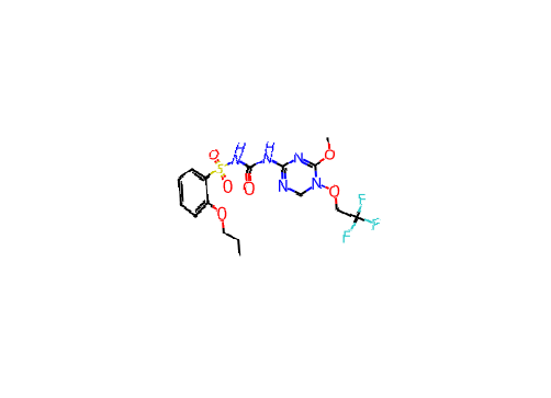 CCCOc1ccccc1S(=O)(=O)NC(=O)NC1=NCN(OCC(F)(F)F)C(OC)=N1